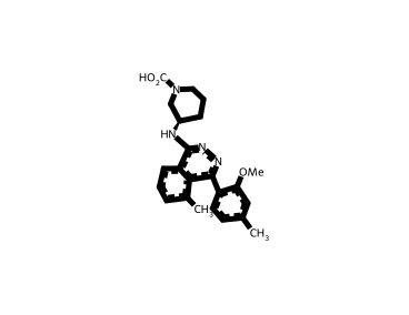 COc1cc(C)ccc1-c1nnc(N[C@@H]2CCCN(C(=O)O)C2)c2cccc(C)c12